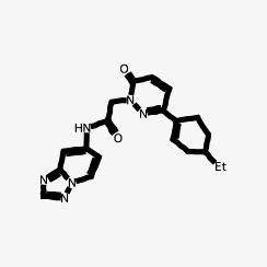 CCC1CC=C(c2ccc(=O)n(CC(=O)Nc3ccn4ncnc4c3)n2)CC1